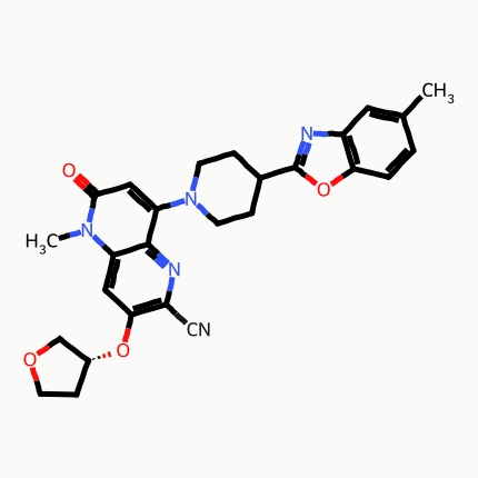 Cc1ccc2oc(C3CCN(c4cc(=O)n(C)c5cc(O[C@@H]6CCOC6)c(C#N)nc45)CC3)nc2c1